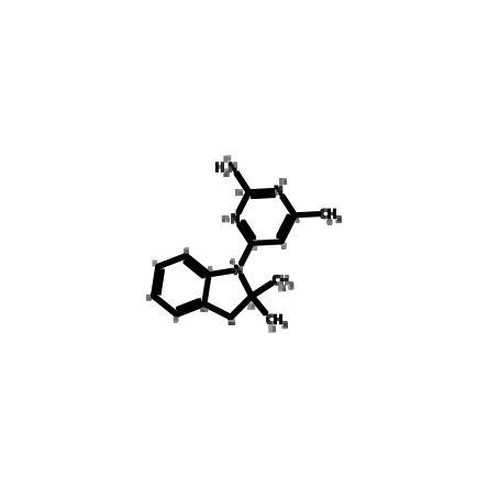 Cc1cc(N2c3ccccc3CC2(C)C)nc(N)n1